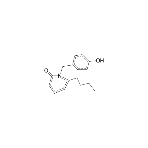 CCCCc1cccc(=O)n1Cc1ccc(O)cc1